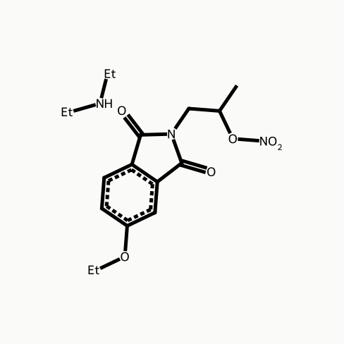 CCNCC.CCOc1ccc2c(c1)C(=O)N(CC(C)O[N+](=O)[O-])C2=O